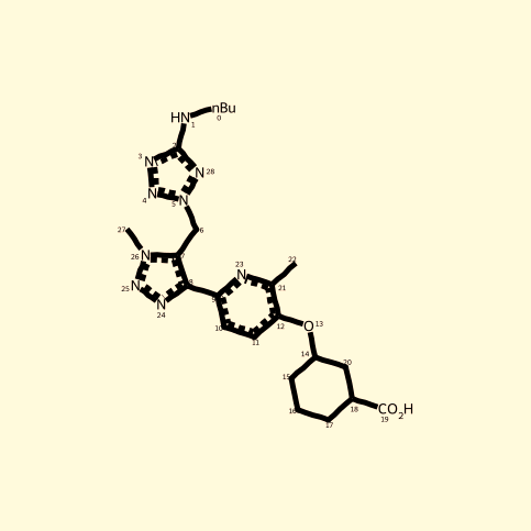 CCCCNc1nnn(Cc2c(-c3ccc(OC4CCCC(C(=O)O)C4)c(C)n3)nnn2C)n1